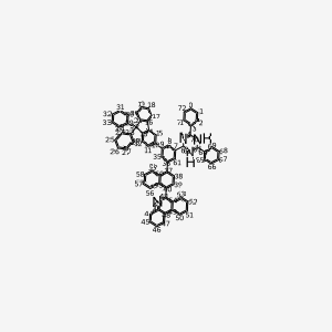 c1ccc(C2=NC(c3cc(-c4ccc5c(c4)-c4ccccc4C5(c4ccccc4)c4ccccc4)cc(-c4ccc(-c5nc6ccccc6c6ccccc56)c5ccccc45)c3)NC(c3ccccc3)N2)cc1